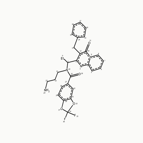 CCC(c1nc2ccccn2c(=O)c1Cc1ccccc1)N(CCCN)C(=O)c1ccc2c(c1)OC(F)(F)O2